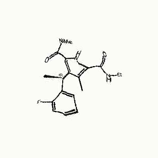 CCNC(=O)c1[nH]c(C(=O)NC)c([C@H](C)c2ccccc2F)c1C